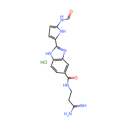 Cl.N=C(N)CCNC(=O)c1ccc2[nH]c(-c3ccc(NC=O)[nH]3)nc2c1